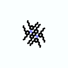 CCCCc1cc(CCCC)cc(N(c2cc(CCCC)cc(CCCC)c2)c2c3ccc(CCCC)cc3c(N(c3cc(CCCC)cc(CCCC)c3)c3cc(CCCC)cc(CCCC)c3)c3ccc(CCCC)cc23)c1